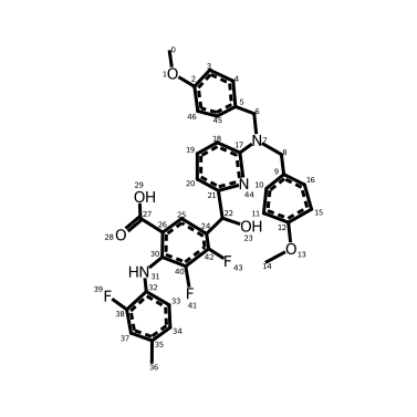 COc1ccc(CN(Cc2ccc(OC)cc2)c2cccc(C(O)c3cc(C(=O)O)c(Nc4ccc(C)cc4F)c(F)c3F)n2)cc1